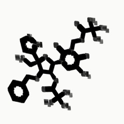 CC[C@@]1(c2ccn[nH]2)O[C@@H](n2cc(C)c(=O)n(COC(=O)C(C)(C)C)c2=O)[C@@H](OC(=O)C(C)(C)C)C1OCc1ccccc1